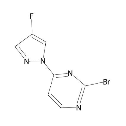 Fc1cnn(-c2ccnc(Br)n2)c1